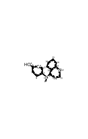 CN(c1ccc(O)cc1)c1ncnc2ccccc12